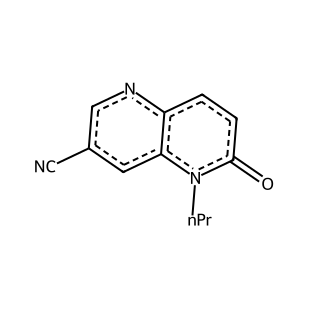 CCCn1c(=O)ccc2ncc(C#N)cc21